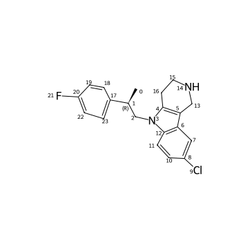 C[C@@H](Cn1c2c(c3cc(Cl)ccc31)CNCC2)c1ccc(F)cc1